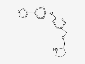 c1cc(-c2ccc(Oc3ccc(COC[C@H]4CCCN4)cc3)cc2)cs1